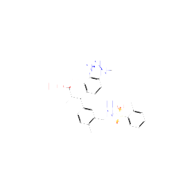 Cc1ccc(C(c2ccc3c(c2)nnn3C)C(C)C(=O)O)cc1CNS(=O)(=O)c1ccccc1C